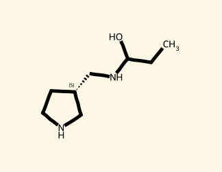 CCC(O)NC[C@H]1CCNC1